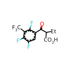 CCC(C(=O)O)C(=O)c1cc(F)c(F)c(C(F)(F)F)c1F